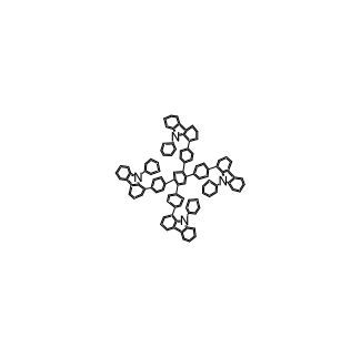 c1ccc(-n2c3ccccc3c3cccc(-c4ccc(-c5cc(-c6ccc(-c7cccc8c9ccccc9n(-c9ccccc9)c78)cc6)c(-c6ccc(-c7cccc8c9ccccc9n(-c9ccccc9)c78)cc6)cc5-c5ccc(-c6cccc7c8ccccc8n(-c8ccccc8)c67)cc5)cc4)c32)cc1